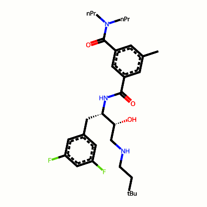 CCCN(CCC)C(=O)c1cc(C)cc(C(=O)N[C@@H](Cc2cc(F)cc(F)c2)[C@H](O)CNCCC(C)(C)C)c1